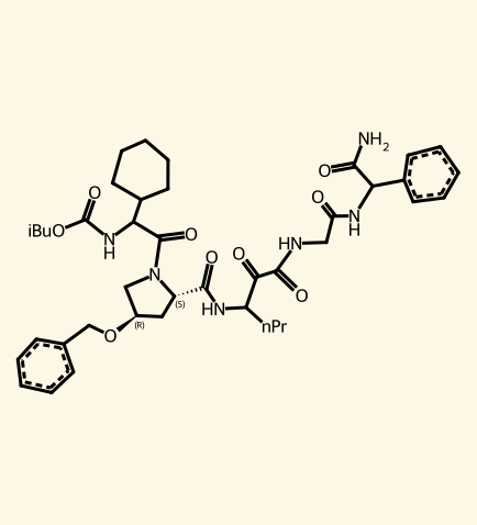 CCCC(NC(=O)[C@@H]1C[C@@H](OCc2ccccc2)CN1C(=O)C(NC(=O)OCC(C)C)C1CCCCC1)C(=O)C(=O)NCC(=O)NC(C(N)=O)c1ccccc1